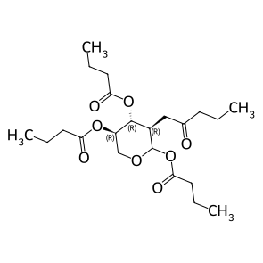 CCCC(=O)C[C@H]1C(OC(=O)CCC)OC[C@@H](OC(=O)CCC)[C@@H]1OC(=O)CCC